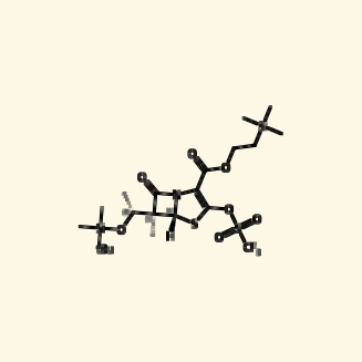 C[C@@H](O[Si](C)(C)C(C)(C)C)[C@@]1(C)C(=O)N2C(C(=O)OCC[Si](C)(C)C)=C(OS(=O)(=O)C(F)(F)F)S[C@@H]21